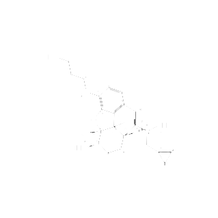 CCCCOc1ccc2c3c1O[C@H]1[C@H](O)CC[C@@](O)([C@H](N(C)CC4CC4)C2)C31C